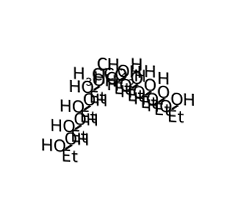 C=C(C)C(=O)O.CCC(O)CO.CCC(O)CO.CCC(O)CO.CCC(O)CO.CCC(O)CO.CCC(O)CO.CCC(O)CO.CCC(O)CO.CCC(O)CO